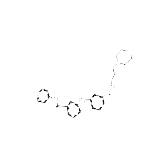 O=C(Nc1ccncc1)c1cccc(Nc2cccc(S(=O)(=O)NCCCN3CCOCC3)c2)c1